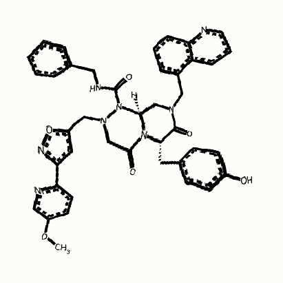 COc1ccc(-c2cc(CN3CC(=O)N4[C@@H](Cc5ccc(O)cc5)C(=O)N(Cc5cccc6ncccc56)C[C@@H]4N3C(=O)NCc3ccccc3)on2)nc1